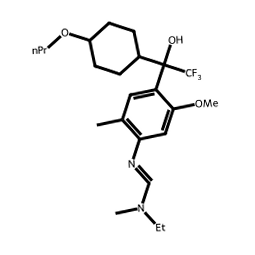 CCCOC1CCC(C(O)(c2cc(C)c(/N=C/N(C)CC)cc2OC)C(F)(F)F)CC1